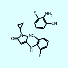 N#Cc1cccc(F)c1N.N#Cc1cccc(F)c1NC1=CC(=O)N(C2CC2)C1